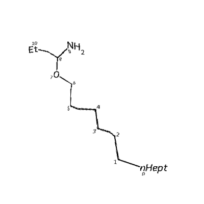 CCCCCCCCCCCCCOC(N)CC